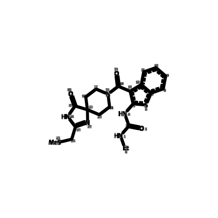 CCNC(=O)Nc1sc2ccccc2c1C(=O)N1CCC2(CC1)N=C(CSC)NC2=O